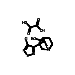 O=C(O)C(=O)O.OC1(c2nsnc2Cl)CN2CCC1CC2